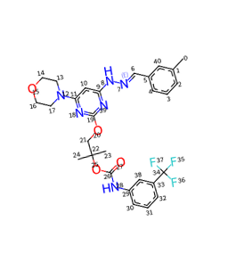 Cc1cccc(/C=N/Nc2cc(N3CCOCC3)nc(OCC(C)(C)OC(=O)Nc3cccc(C(F)(F)F)c3)n2)c1